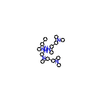 c1ccc(-c2ccc(-c3ccccc3)c(-c3nc(-c4cccc(-n5c6ccccc6c6cc(-c7ccc8c(c7)c7ccccc7n8-c7ccccc7)ccc65)c4)nc(-n4c5ccccc5c5cc(-c6ccc7c(c6)c6ccccc6n7-c6ccccc6)ccc54)n3)c2)cc1